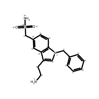 NCCc1cn(Cc2ccccc2)c2ccc(CS(N)(=O)=O)cc12